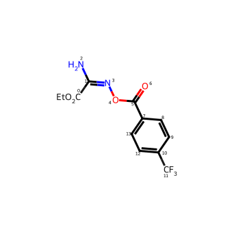 CCOC(=O)/C(N)=N\OC(=O)c1ccc(C(F)(F)F)cc1